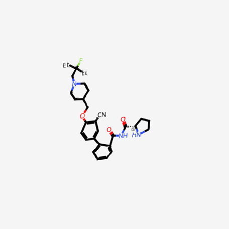 CCC(F)(CC)CN1CCC(COc2ccc(-c3ccccc3C(=O)NC(=O)[C@@H]3CCCN3)cc2C#N)CC1